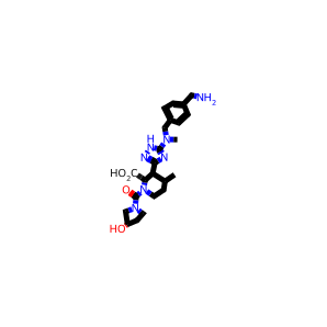 CC1CCN(C(=O)N2CCC(O)C2)C(C(=O)O)C1c1n[nH]c(N(C)Cc2ccc(CN)cc2)n1